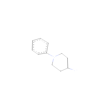 Cl.NC1CCN(c2ccccc2)CC1